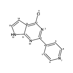 Clc1nc(-c2ccncc2)nc2[nH]ccc12